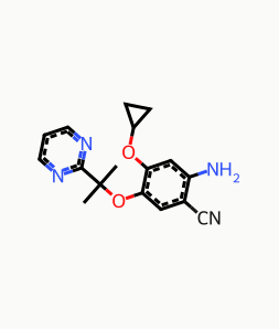 CC(C)(Oc1cc(C#N)c(N)cc1OC1CC1)c1ncccn1